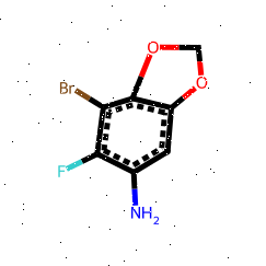 Nc1cc2c(c(Br)c1F)OCO2